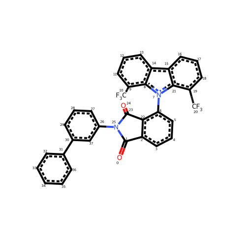 O=C1c2cccc(-n3c4c(C(F)(F)F)cccc4c4cccc(C(F)(F)F)c43)c2C(=O)N1c1cccc(-c2ccccc2)c1